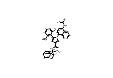 CCC(=O)Nc1ccc(-n2nc(C(=O)NC3(C(=O)O)C4CC5CC(C4)CC3C5)cc2-c2c(OC)cccc2OC)c2ccccc12